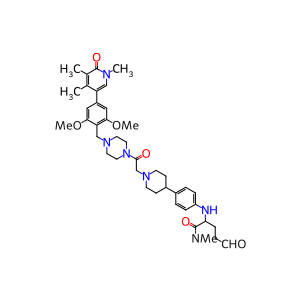 CNC(=O)C(CCC=O)Nc1ccc(C2CCN(CC(=O)N3CCN(Cc4c(OC)cc(-c5cn(C)c(=O)c(C)c5C)cc4OC)CC3)CC2)cc1